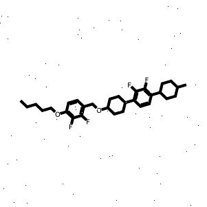 CCCCCOc1ccc(COC2CCC(c3ccc(C4CCC(C)CC4)c(F)c3F)CC2)c(F)c1F